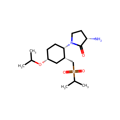 CC(C)O[C@@H]1CC[C@H](N2CC[C@H](N)C2=O)[C@H](CS(=O)(=O)C(C)C)C1